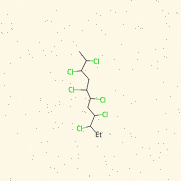 CCC(Cl)C(Cl)CC(Cl)C(Cl)CC(Cl)C(C)Cl